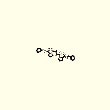 CC(C(=O)N1CCCC1C(=O)OCc1ccccc1)C(C)C(=O)N1CCCC1C(=O)OCc1ccccc1